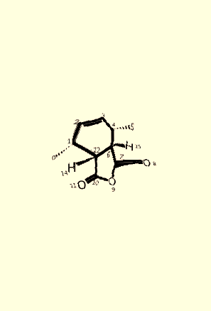 C[C@@H]1C=C[C@H](C)[C@@H]2C(=O)OC(=O)[C@@H]21